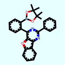 CC1(C)OB(c2ccccc2-c2nc(-c3ccccc3)nc3c2oc2ccccc23)OC1(C)C